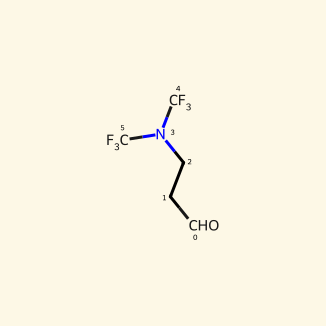 O=CCCN(C(F)(F)F)C(F)(F)F